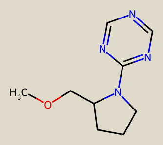 COCC1CCCN1c1ncncn1